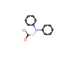 O=C(Cl)SN(c1ccccc1)c1ccccc1